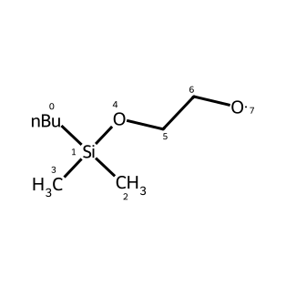 CCCC[Si](C)(C)OCC[O]